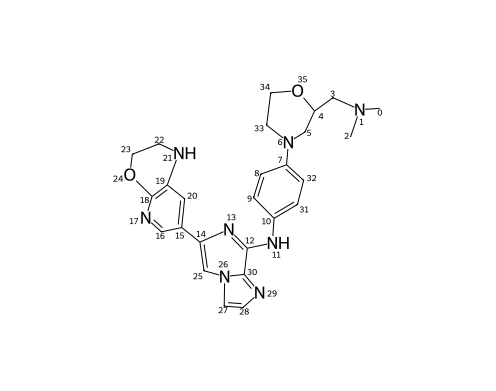 CN(C)CC1CN(c2ccc(Nc3nc(-c4cnc5c(c4)NCCO5)cn4ccnc34)cc2)CCO1